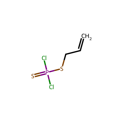 C=CCSP(=S)(Cl)Cl